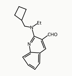 CCN(CC1CCC1)c1nc2ccccc2cc1C=O